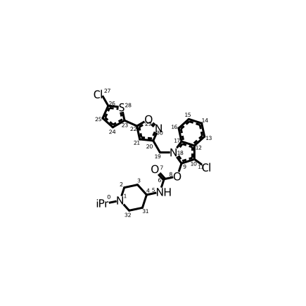 CC(C)N1CCC(NC(=O)Oc2c(Cl)c3ccccc3n2Cc2cc(-c3ccc(Cl)s3)on2)CC1